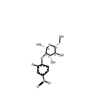 O=[N+]([O-])c1ccc(O[C@@H]2[C@@H](O)[C@H](O)[C@@H](CO)O[C@H]2O)c(F)c1